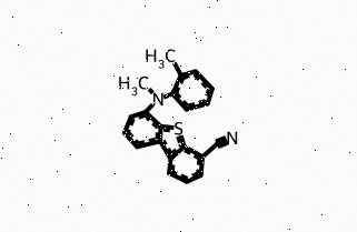 Cc1ccccc1N(C)c1cccc2c1sc1c(C#N)cccc12